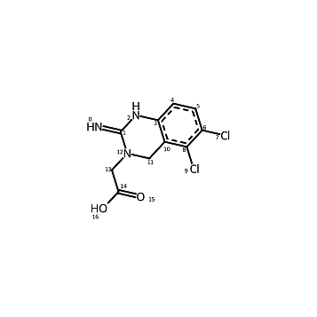 N=C1Nc2ccc(Cl)c(Cl)c2CN1CC(=O)O